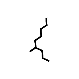 [CH2]CCCCC(C)CCC